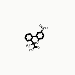 CC1(C(=O)O)Oc2ccc([N+](=O)[O-])cc2-c2ccccc21